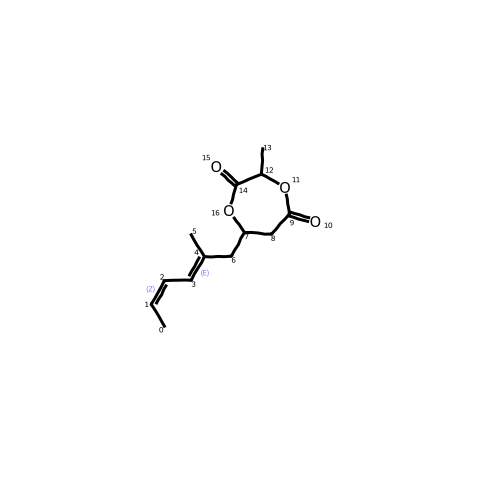 C/C=C\C=C(/C)CC1CC(=O)OC(C)C(=O)O1